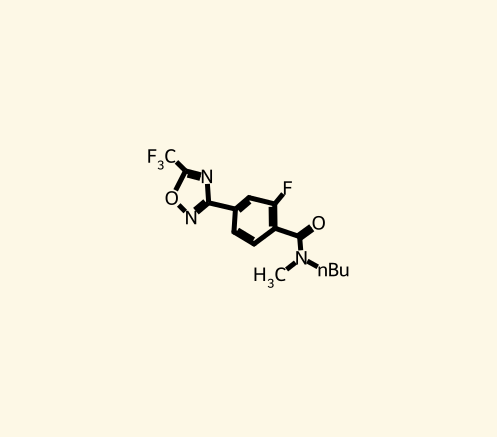 CCCCN(C)C(=O)c1ccc(-c2noc(C(F)(F)F)n2)cc1F